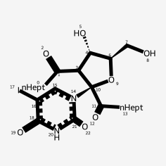 CCCCCCCC(=O)C1[C@H](O)[C@@H](CO)O[C@@]1(C(=O)CCCCCCC)n1cc(I)c(=O)[nH]c1=O